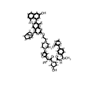 CCc1cccc2cc(O)cc(-c3ncc4c(N5CC6CCC(C5)N6)nc(OCCN5CCN(c6cc([C@H](C(=O)N7C[C@H](O)C[C@H]7C(=O)N[C@@H](C)c7ccc(-c8scnc8C)cc7)C(C)C)on6)CC5)nc4c3F)c12